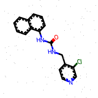 O=C(NCc1ccncc1Cl)Nc1cccc2ccccc12